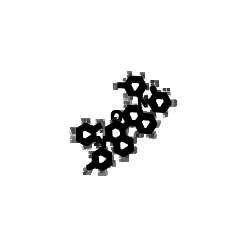 Cc1cccc(N(c2ccccc2C)c2cc3oc4cc(N(c5cccc(C)c5)c5ccccc5C)c5ccccc5c4c3c3ccccc23)c1